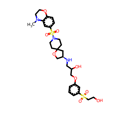 CN1CCOc2ccc(S(=O)(=O)N3CCC4(CC3)C[C@@H](NCC(O)COc3cccc(S(=O)(=O)CCO)c3)CO4)cc21